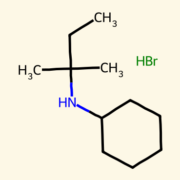 Br.CCC(C)(C)NC1CCCCC1